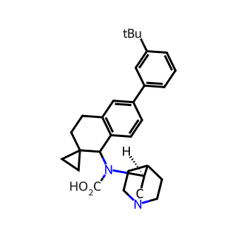 CC(C)(C)c1cccc(-c2ccc3c(c2)CCC2(CC2)C3N(C(=O)O)[C@@H]2CN3CCC2CC3)c1